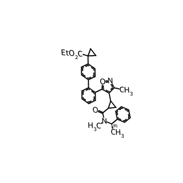 CCOC(=O)C1(c2ccc(-c3ccccc3-c3onc(C)c3C3CC3C(=O)N(C)[C@H](C)c3ccccc3)cc2)CC1